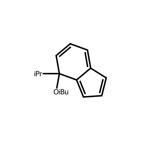 CC(C)COC1(C(C)C)C=CC=C2C=CC=C21